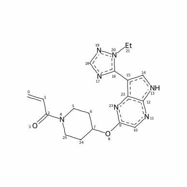 C=CC(=O)N1CCC(Oc2cnc3[nH]cc(-c4ncnn4CC)c3n2)CC1